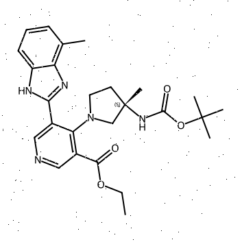 CCOC(=O)c1cncc(-c2nc3c(C)cccc3[nH]2)c1N1CC[C@](C)(NC(=O)OC(C)(C)C)C1